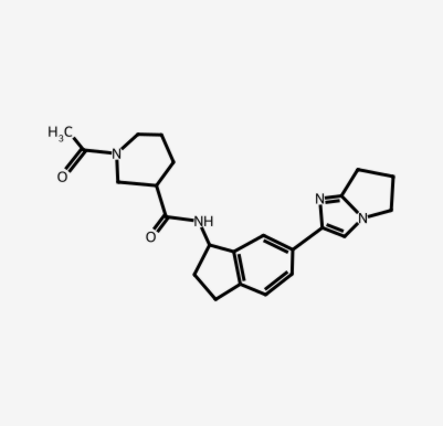 CC(=O)N1CCCC(C(=O)NC2CCc3ccc(-c4cn5c(n4)CCC5)cc32)C1